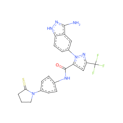 Nc1n[nH]c2ccc(-n3nc(C(F)(F)F)cc3C(=O)Nc3ccc(N4CCCC4=S)cc3)cc12